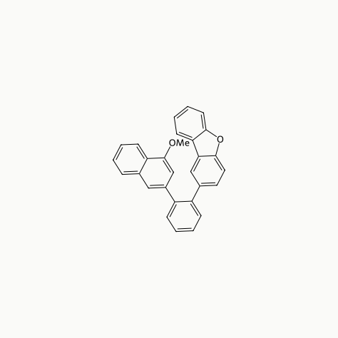 COc1cc(-c2ccccc2-c2ccc3oc4ccccc4c3c2)cc2ccccc12